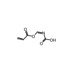 C=CC(=O)O/C=N\C(=O)O